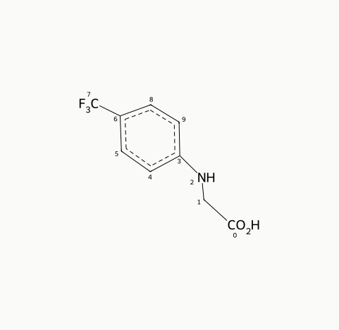 O=C(O)CNc1ccc(C(F)(F)F)cc1